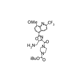 COc1ccc(-c2nc(C(=O)N3CCN(C(=O)OCC(C)C)CC3)c(CN)o2)c2ccc(C(F)(F)F)nc12